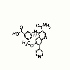 COc1cc2c(Nc3cccc(C(=O)O)c3)c(C(N)=O)cnc2cc1-c1ccncc1